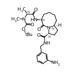 C[C@@H](C(=O)N[C@H]1CCCC[C@H]2CC[C@@H](C(=O)NCc3cccc(N)c3)N2C1=O)N(C)C(=O)OC(C)(C)C